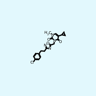 Cn1cc(C2CC2)c(=O)n(Cc2nc(CCc3ccc(Cl)cc3)no2)c1=O